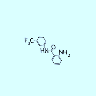 Nc1ccccc1C(=O)Nc1cccc(C(F)(F)F)c1